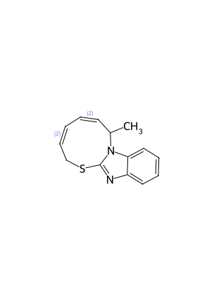 CC1/C=C\C=C/CSc2nc3ccccc3n21